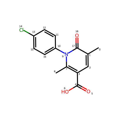 Cc1cc(C(=O)O)c(C)n(-c2ccc(Cl)cc2)c1=O